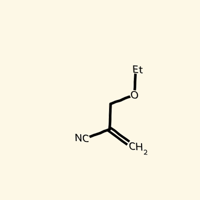 C=C(C#N)COCC